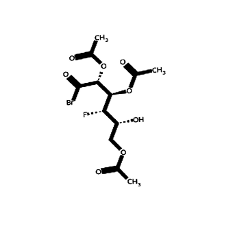 CC(=O)OC[C@@H](O)[C@H](F)[C@H](OC(C)=O)[C@@H](OC(C)=O)C(=O)Br